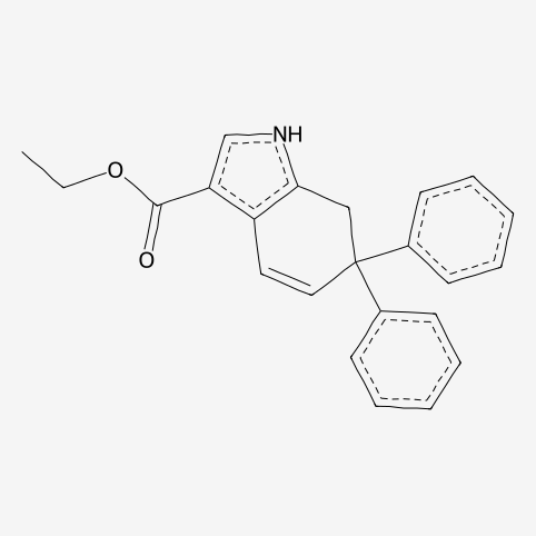 CCOC(=O)c1c[nH]c2c1C=CC(c1ccccc1)(c1ccccc1)C2